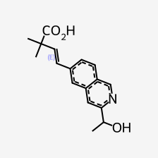 CC(O)c1cc2cc(/C=C/C(C)(C)C(=O)O)ccc2cn1